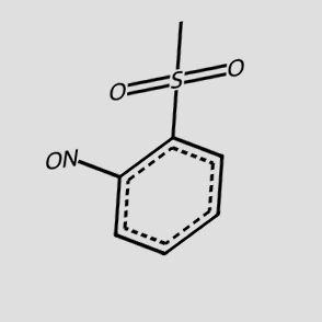 CS(=O)(=O)c1ccccc1N=O